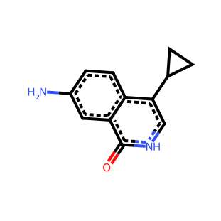 Nc1ccc2c(C3CC3)c[nH]c(=O)c2c1